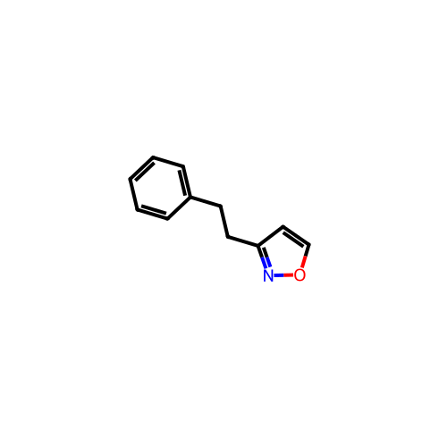 c1ccc(CCc2ccon2)cc1